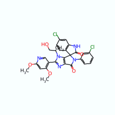 COc1cc(OC)c(-c2nc3c(n2C(C)CO)C2(C(=O)Nc4cc(Cl)ccc42)N(c2cccc(Cl)c2)C3=O)cn1